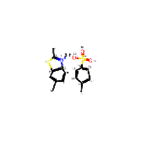 CC[n+]1c(C)sc2cc(C)ccc21.Cc1ccc(S(=O)(=O)[O-])cc1